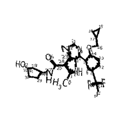 Cc1[nH]c2c(-c3cc(C(F)(F)F)ccc3OCC3CC3)ncnc2c1C(=O)N[C@H]1CC[C@@H](O)C1